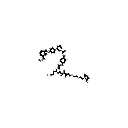 C[C@H](NC(=O)CCOCCOCCN1C(=O)C=CC1=O)C(=O)N[C@@H](CCCCN)C(=O)Nc1ccc(COC(=O)N2CCC[C@@H](C3C=CC(n4cc5cccc(C(N)=O)c5n4)=CC3)C2)cc1